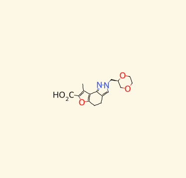 Cc1c(C(=O)O)oc2c1-c1nn(C[C@@H]3COCCO3)cc1CC2